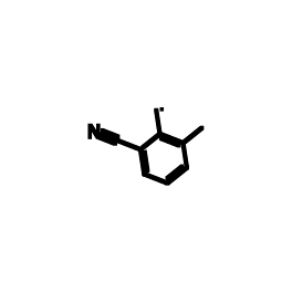 [CH2]c1c(C)cccc1C#N